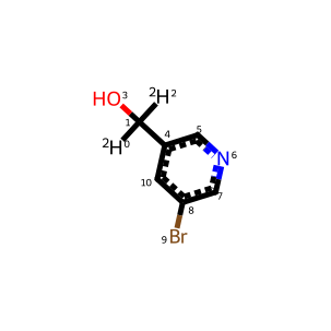 [2H]C([2H])(O)c1cncc(Br)c1